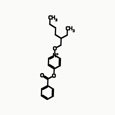 CCCCC(CC)CO[n+]1ccc(OC(=O)c2ccccc2)cc1